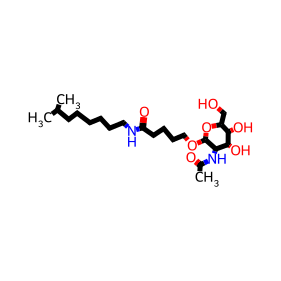 CC(=O)NC1C(OCCCCC(=O)NCCCCCCC(C)C)OC(CO)C(O)C1O